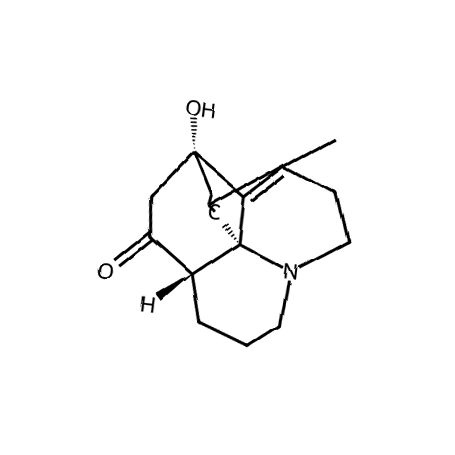 CC1C[C@@]2(O)CC(=O)[C@H]3CCCN4CCC=C2[C@]34C1